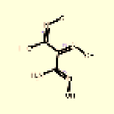 CC(=N/O)/C(=N/O)C(/N)=N/O